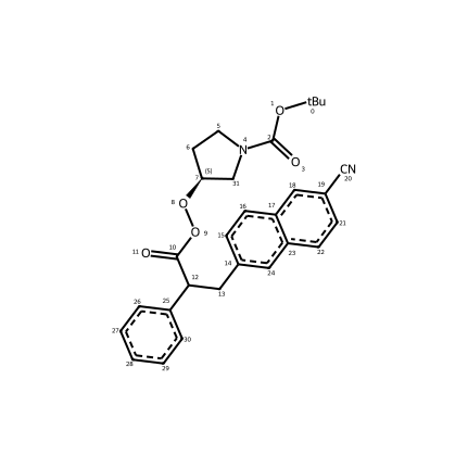 CC(C)(C)OC(=O)N1CC[C@H](OOC(=O)C(Cc2ccc3cc(C#N)ccc3c2)c2ccccc2)C1